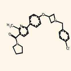 Cc1nc(-c2ccc(OC3CN(Cc4ccc(C(F)(F)F)cc4)C3)cc2)ccc1C(=O)N1CCCC1